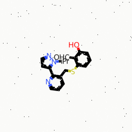 CC(C)n1nccc1-c1ncccc1CSc1cccc(O)c1C=O